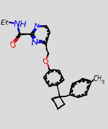 CCNC(=O)c1nccc(COc2ccc(C3(c4ccc(C)cc4)CCC3)cc2)n1